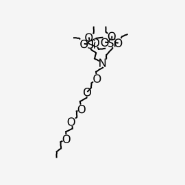 CCCCOCCOCCOCCOCCOCCN(CCC[Si](OCC)(OCC)OCC)CCC[Si](OCC)(OCC)OCC